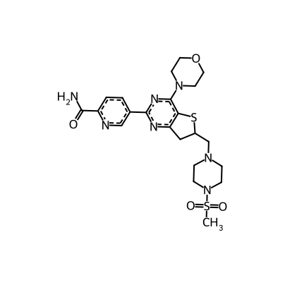 CS(=O)(=O)N1CCN(CC2Cc3nc(-c4ccc(C(N)=O)nc4)nc(N4CCOCC4)c3S2)CC1